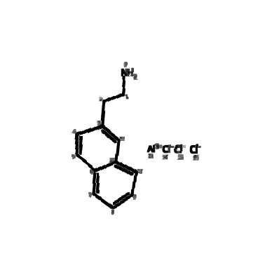 NCCc1ccc2ccccc2c1.[Al+3].[Cl-].[Cl-].[Cl-]